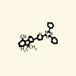 CC1(C)c2cc(-c3ccc(-c4nc(-c5ccccc5)nc(-c5ccccc5)n4)nc3)ccc2-c2c(C#N)cccc21